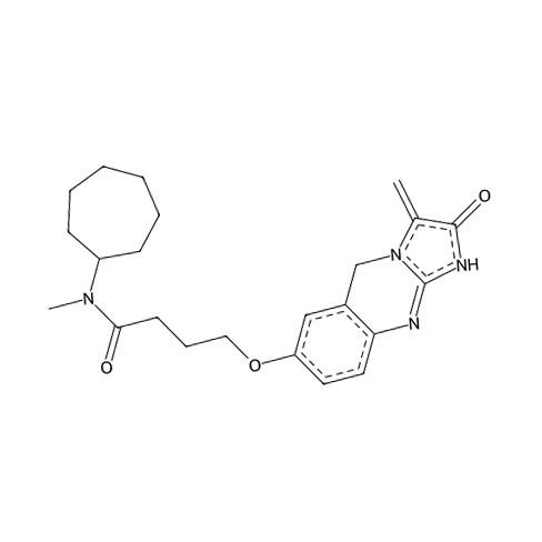 C=c1c(=O)[nH]c2n1Cc1cc(OCCCC(=O)N(C)C3CCCCCC3)ccc1N=2